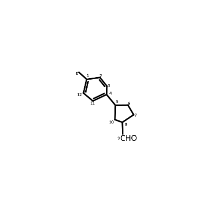 Cc1ccc(C2CCC(C=O)C2)cc1